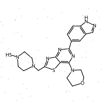 SN1CCN(Cc2nc3nc(-c4ccc5[nH]ncc5c4)nc(N4CCOCC4)c3s2)CC1